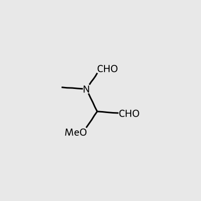 COC(C=O)N(C)C=O